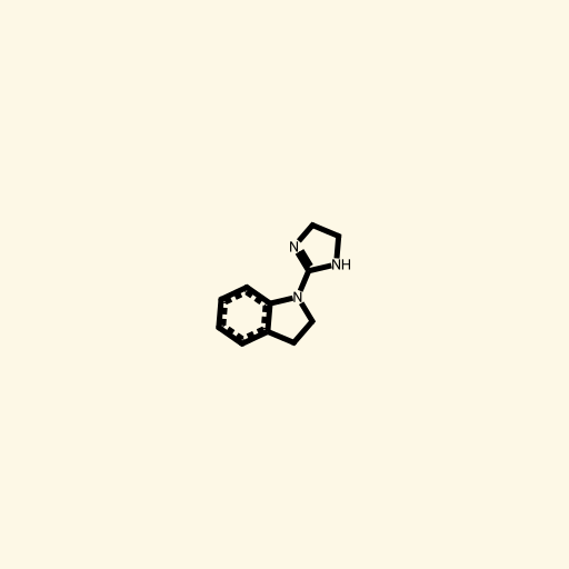 c1ccc2c(c1)CCN2C1=NCCN1